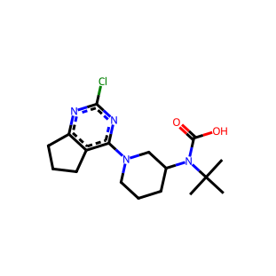 CC(C)(C)N(C(=O)O)C1CCCN(c2nc(Cl)nc3c2CCC3)C1